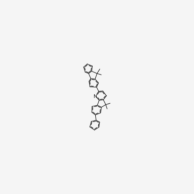 CC1(C)c2ccccc2-c2ccc(-c3ccc4c(n3)-c3ccc(-c5ccccc5)cc3C4(C)C)cc21